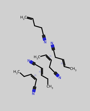 C/C=C/CC#N.C/C=C\CC#N.C=CCCC#N.CC/C=C/C#N.CC/C=C\C#N